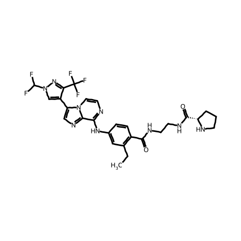 CCc1cc(Nc2nccn3c(-c4cn(C(F)F)nc4C(F)(F)F)cnc23)ccc1C(=O)NCCNC(=O)[C@@H]1CCCN1